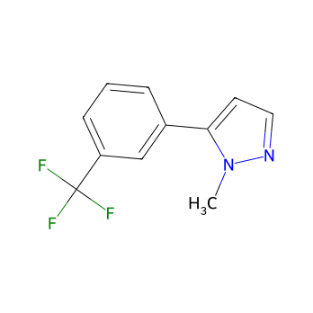 Cn1nccc1-c1cccc(C(F)(F)F)c1